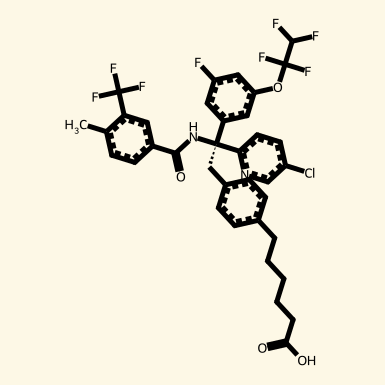 Cc1ccc(C(=O)N[C@@](Cc2ccc(CCCCCC(=O)O)cc2)(c2cc(F)cc(OC(F)(F)C(F)F)c2)c2ccc(Cl)cn2)cc1C(F)(F)F